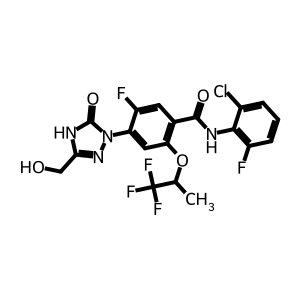 CC(Oc1cc(-n2nc(CO)[nH]c2=O)c(F)cc1C(=O)Nc1c(F)cccc1Cl)C(F)(F)F